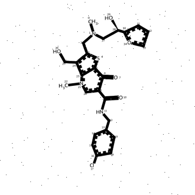 CN(Cc1sc2c(=O)c(C(=O)NCc3ccc(Cl)cc3)cn(C)c2c1CO)C[C@@H](O)c1ccco1